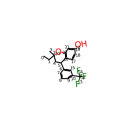 CCC1(C)CC(c2cccc(C(F)(F)F)c2)c2ccc(O)cc2O1